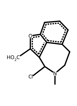 CN1CCc2cccc3oc(C(=O)O)c(c23)C1Cl